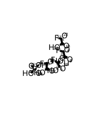 O=C(O)C(=O)F.O=C(O)C(=O)F.O=C(O)C(=O)F.O=C(O)C(=O)F.O=P([O-])(O)O.[Li+]